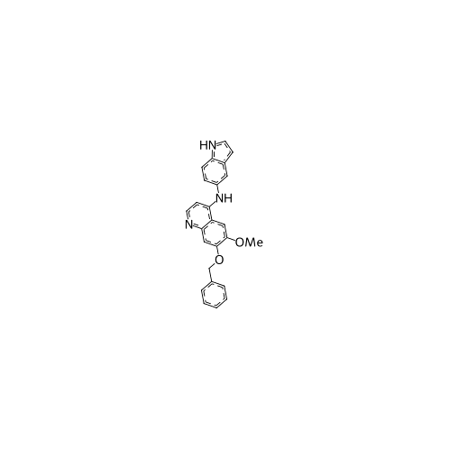 COc1cc2c(Nc3ccc4[nH]ccc4c3)ccnc2cc1OCc1ccccc1